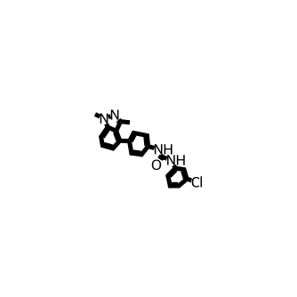 Cc1nn(C)c2cccc(-c3ccc(NC(=O)Nc4cccc(Cl)c4)cc3)c12